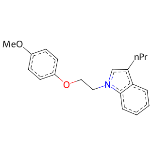 CCCc1cn(CCOc2ccc(OC)cc2)c2ccccc12